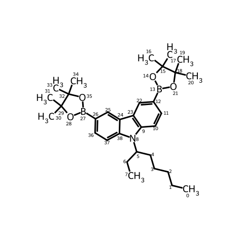 CCCCCC(CC)n1c2ccc(B3OC(C)(C)C(C)(C)O3)cc2c2cc(B3OC(C)(C)C(C)(C)O3)ccc21